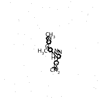 C=CC(=O)N1CC=C(c2ccc3ncnc(Nc4ccc(Oc5ccn6nc(C)cc6c5)c(C)c4)c3n2)CC1